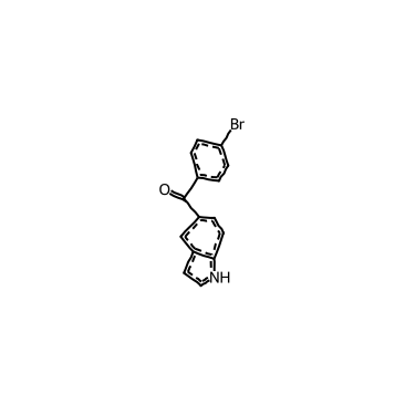 O=C(c1ccc(Br)cc1)c1ccc2[nH]ccc2c1